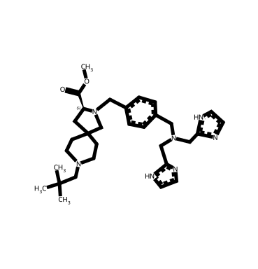 COC(=O)[C@@H]1CC2(CCN(CC(C)(C)C)CC2)CN1Cc1ccc(CN(Cc2ncc[nH]2)Cc2ncc[nH]2)cc1